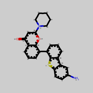 Nc1ccc2sc3c(-c4cccc5c(=O)cc(N6CCCCC6)oc45)cccc3c2c1